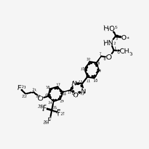 CC(NC(=O)O)OCc1ccc(-c2noc(-c3ccc(OCCF)c(C(F)(F)F)c3)n2)cc1